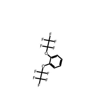 FC(F)(F)C(F)(F)Oc1ccccc1OC(F)(F)C(F)(F)F